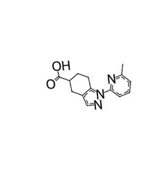 Cc1cccc(-n2ncc3c2CCC(C(=O)O)C3)n1